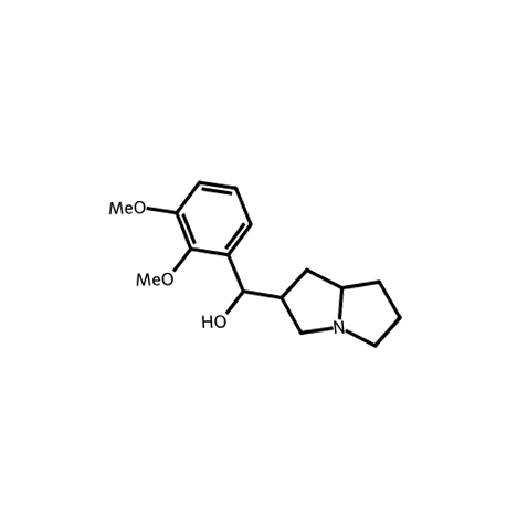 COc1cccc(C(O)C2CC3CCCN3C2)c1OC